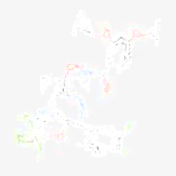 N[C@@]1(C(F)(F)F)COc2c1cc(C(O)(CNC(=O)c1ccc(OC3CC3)c(OC3CC3)c1)C1CC1)nc2-c1ccc(F)c(F)c1